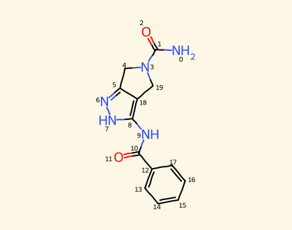 NC(=O)N1Cc2n[nH]c(NC(=O)c3ccccc3)c2C1